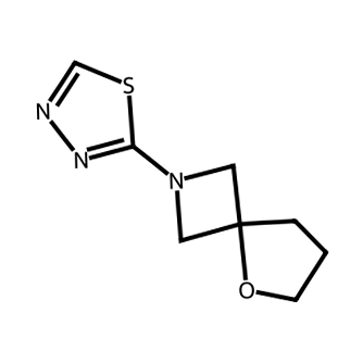 c1nnc(N2CC3(CCCO3)C2)s1